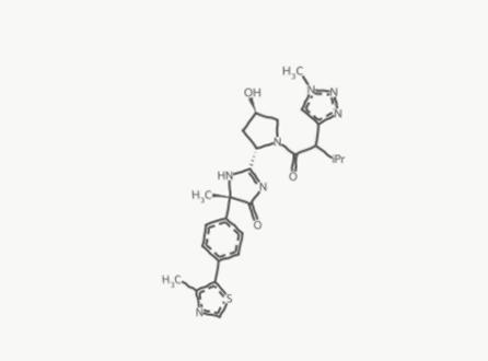 Cc1ncsc1-c1ccc([C@]2(C)NC([C@@H]3C[C@@H](O)CN3C(=O)C(c3cn(C)nn3)C(C)C)=NC2=O)cc1